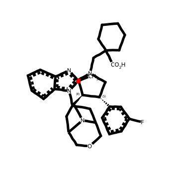 Cc1nc2ccccc2n1C1CC2COCC(C1)N2C[C@H]1CN(CC2(C(=O)O)CCCCC2)C[C@@H]1c1cccc(F)c1